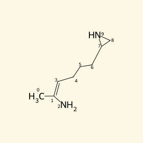 C/C(N)=C/CCCC1CN1